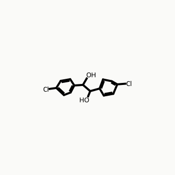 OC(c1ccc(Cl)cc1)C(O)c1ccc(Cl)cc1